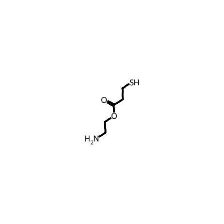 NCCOC(=O)CCS